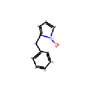 On1cccc1Cc1ccccc1